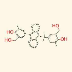 Cc1cc(-c2c3ccccc3c(C(C)(C)c3cc(C)c(O)c(CO)c3)c3ccccc23)cc(CO)c1O